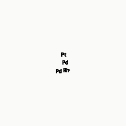 [Pd].[Pd].[Pt].[Rh]